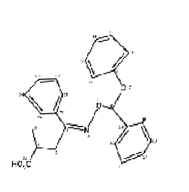 CC(CC(=NOC(Oc1ccccc1)c1ccccc1)c1ccccc1)C(=O)O